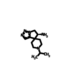 CC(C)N1CCC2(CC1)c1cnnn1C[C@H]2N